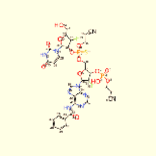 N#CCCOP(=O)(O)OC1C(COP(=S)(OCCC#N)OC2C(F)C(CO)OC2n2ccc(=O)[nH]c2=O)OC(n2cnc3c(NC(=O)c4ccccc4)ncnc32)C1F